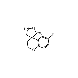 O=C1ONCC12CCOc1ccc(F)cc12